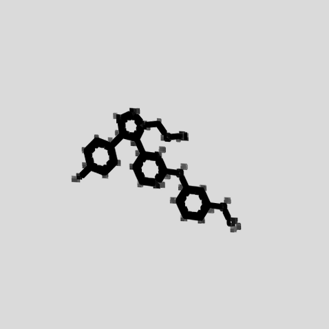 CCOCn1nnc(-c2ccc(F)cc2)c1-c1ccnc(Oc2cccc(OC(F)(F)F)c2)n1